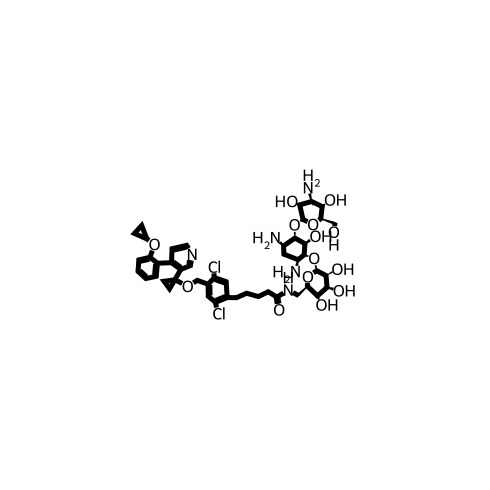 N[C@@H]1[C@@H](O)[C@@H](O[C@@H]2[C@@H](O)[C@H](O[C@H]3O[C@H](CNC(=O)CCCCc4cc(Cl)c(COC5(c6cnccc6-c6ccccc6OC6CC6)CC5)cc4Cl)[C@@H](O)[C@H](O)[C@H]3O)[C@@H](N)C[C@H]2N)O[C@H](CO)[C@H]1O